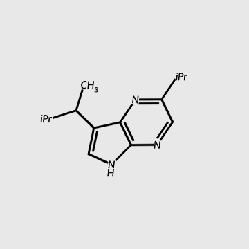 CC(C)c1cnc2[nH]cc(C(C)C(C)C)c2n1